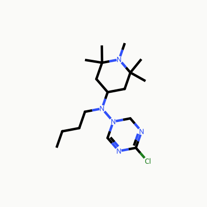 CCCCN(C1CC(C)(C)N(C)C(C)(C)C1)N1C=NC(Cl)=NC1